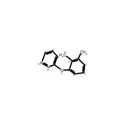 Cc1cccc(Oc2cc[c]nn2)c1C